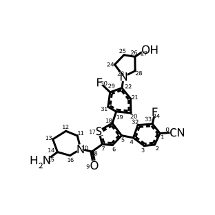 N#Cc1ccc(-c2cc(C(=O)N3CCCC(N)C3)sc2-c2ccc(N3CCC(O)C3)c(F)c2)cc1F